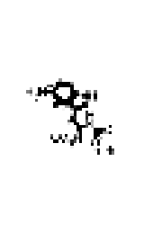 CC(C)(C)OC(=O)NC(Cc1c[nH]c2ccc(N)cc12)C(=O)O